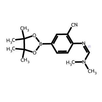 CN(C)/C=N\c1ccc(B2OC(C)(C)C(C)(C)O2)cc1C#N